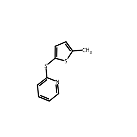 Cc1ccc(Sc2ccccn2)s1